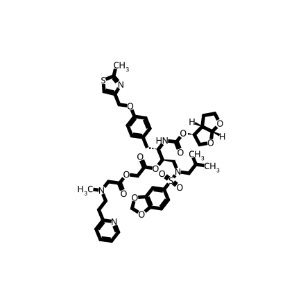 Cc1nc(COc2ccc(C[C@H](NC(=O)O[C@H]3CO[C@H]4OCC[C@H]43)[C@@H](CN(CC(C)C)S(=O)(=O)c3ccc4c(c3)OCO4)OC(=O)COC(=O)CN(C)CCc3ccccn3)cc2)cs1